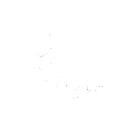 CC(Nc1ncc(-c2ccc3c(c2)CC(=O)N3)s1)[C@@H](N)Cc1ccc(C(F)(F)F)cc1